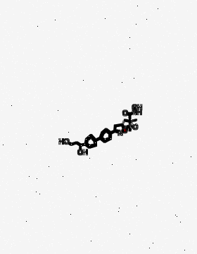 C[C@@](C[C@H]1CC(c2ccc(-c3ccc(C(O)CCO)cc3)cc2)=NO1)(C(=O)NO)S(C)(=O)=O